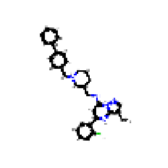 Bc1cnn2c(NCC3CCCN(Cc4ccc(-c5ccccc5)cc4)C3)cc(-c3ccccc3Cl)nc12